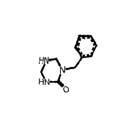 O=C1NCNCN1Cc1ccccc1